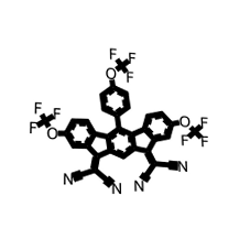 N#CC(C#N)=C1c2cc(OC(F)(F)F)ccc2-c2c1cc1c(c2-c2ccc(OC(F)(F)F)cc2)-c2ccc(OC(F)(F)F)cc2C1=C(C#N)C#N